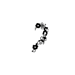 COc1ccc(COC[C@@H](OC(=O)N2CCC3(CC2)CC(N(C)S(=O)(=O)c2cccc(F)c2)CO3)C(F)(F)F)cc1